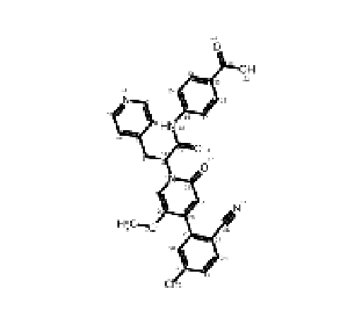 COc1cn([C@@H](Cc2ccncc2)C(=O)Nc2ccc(C(=O)O)cc2)c(=O)cc1-c1cc(Cl)ccc1C#N